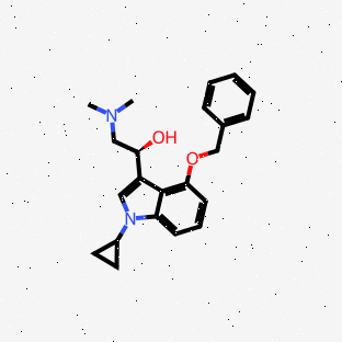 CN(C)C[C@@H](O)c1cn(C2CC2)c2cccc(OCc3ccccc3)c12